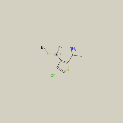 CC[S][Sn+]([CH2]C)[c]1ccsc1C(C)N.[Cl-]